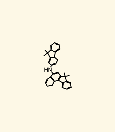 CC1(C)C2=CC(Nc3cc4c(c5c3C=CCC5)-c3ccccc3C4(C)C)=CCC2c2ccccc21